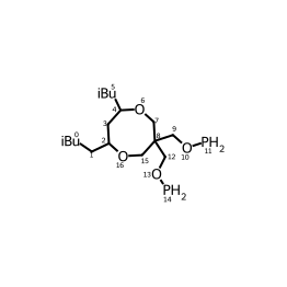 CCC(C)CC1CC(C(C)CC)OCC(COP)(COP)CO1